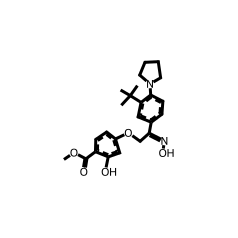 COC(=O)c1ccc(OC/C(=N\O)c2ccc(N3CCCC3)c(C(C)(C)C)c2)cc1O